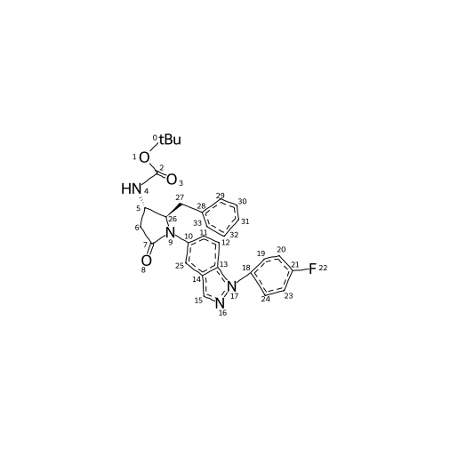 CC(C)(C)OC(=O)N[C@H]1CC(=O)N(c2ccc3c(cnn3-c3ccc(F)cc3)c2)[C@@H]1Cc1ccccc1